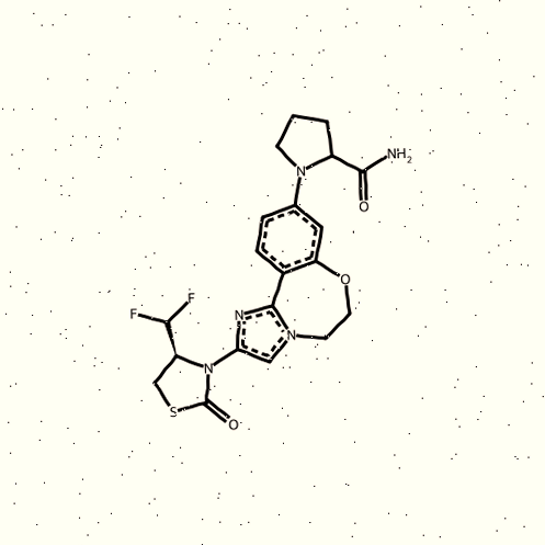 NC(=O)C1CCCN1c1ccc2c(c1)OCCn1cc(N3C(=O)SC[C@H]3C(F)F)nc1-2